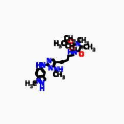 CNc1nc(Nc2ccc3c(c2)CNN3C)ncc1C#CCCCNC(=O)[C@H](C)N(C)C(=O)OC(C)(C)C